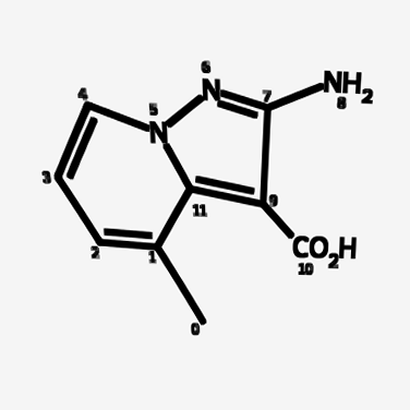 Cc1cccn2nc(N)c(C(=O)O)c12